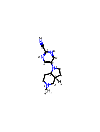 CN1CCC2[C@H](CCN2c2cnc(C#N)nc2)C1